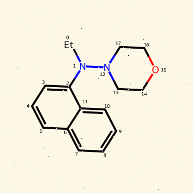 CCN(c1cccc2ccccc12)N1CCOCC1